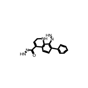 N=NC(=O)C1=CCNc2c1ccc(-c1ccccc1)c2N=N